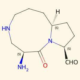 N[C@H]1CNCCC[C@H]2CC[C@@H](C=O)N2C1=O